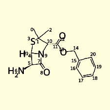 CC1(C)S[C@@H]2[C@H](N)C(=O)N2[C@H]1C(=O)OCc1ccccc1